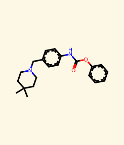 CC1(C)CCN(Cc2ccc(NC(=O)Oc3ccccc3)cc2)CC1